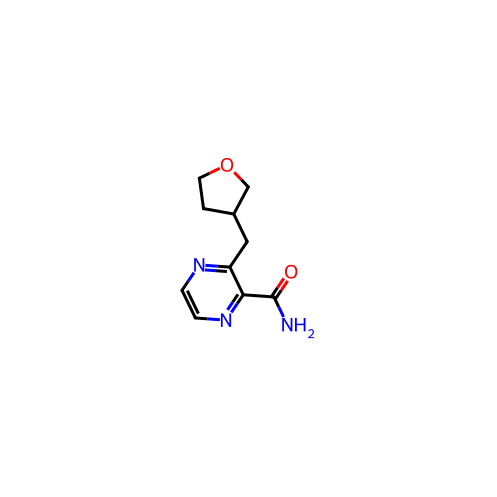 NC(=O)c1nccnc1CC1CCOC1